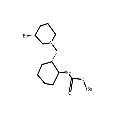 CC[C@@H]1CCCN(C[C@H]2CCCC[C@@H]2NC(=O)OC(C)(C)C)C1